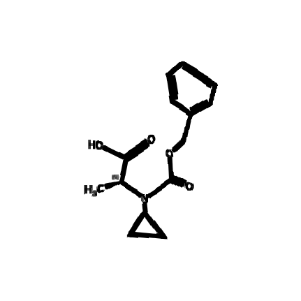 C[C@@H](C(=O)O)N(C(=O)OCc1ccccc1)C1CC1